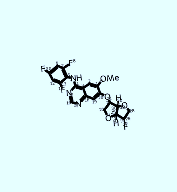 COc1cc2c(Nc3c(F)cc(F)cc3F)ncnc2cc1OC1CO[C@H]2[C@H](F)CO[C@@H]12